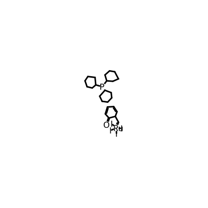 C1CCC(P(C2CCCCC2)C2CCCCC2)CC1.O=C1C=CC=CC1[CH]=[Ru]([I])([I])([I])[I]